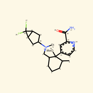 CCN(CC1CCCC(C)C1(OC)c1ccnc(C(N)=O)c1)C1CC2C(C1)C2(F)F